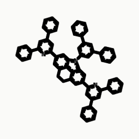 c1ccc(-c2cc(-c3ccccc3)cc(-n3c4cc(-c5cc(-c6ccccc6)cc(-c6ccccc6)n5)cc5c4c4c(cc(-c6cc(-c7ccccc7)cc(-c7ccccc7)n6)cc43)CC5)c2)cc1